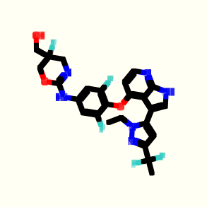 CCn1nc(C(C)(F)F)cc1-c1c[nH]c2nccc(Oc3c(F)cc(NC4=NCC(F)(CO)CO4)cc3F)c12